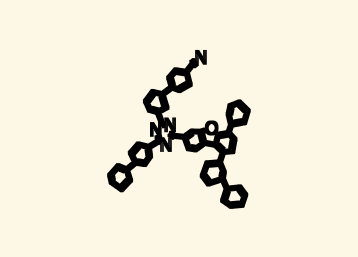 N#Cc1ccc(-c2cccc(-c3nc(-c4ccc(-c5ccccc5)cc4)nc(-c4ccc5c(c4)oc4c(-c6ccccc6)ccc(-c6cccc(-c7ccccc7)c6)c45)n3)c2)cc1